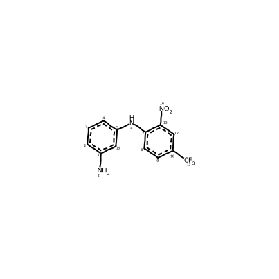 Nc1cccc(Nc2ccc(C(F)(F)F)cc2[N+](=O)[O-])c1